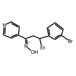 CCC(C/C(=N\O)c1ccncc1)c1cccc(Br)c1